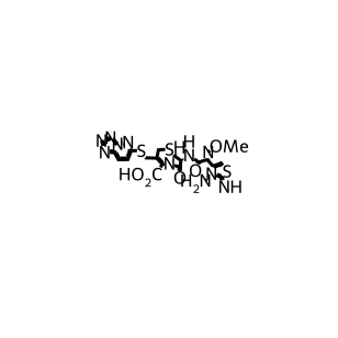 CON=C(C(=O)N[C@@H]1C(=O)N2C(C(=O)O)=C(CSc3ccc4nnnn4n3)CS[C@@H]12)c1csc(=N)n1N